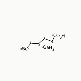 CCCCCCCCC(=O)O.[GaH3]